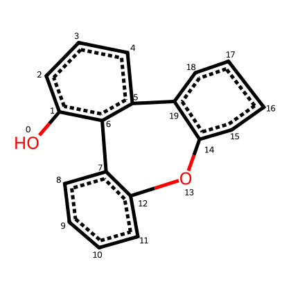 Oc1cccc2c1-c1ccccc1Oc1ccccc1-2